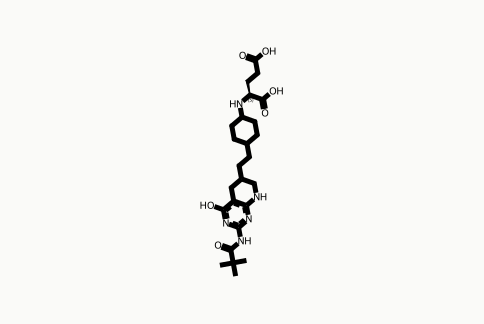 CC(C)(C)C(=O)Nc1nc(O)c2c(n1)NCC(CCC1CCC(N[C@@H](CCC(=O)O)C(=O)O)CC1)C2